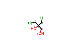 OCC(O)(CCl)CCl